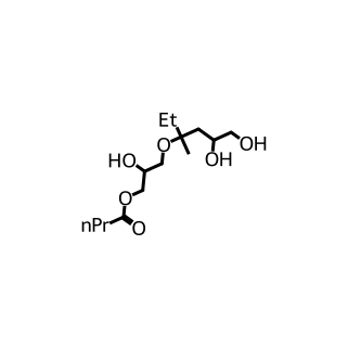 CCCC(=O)OCC(O)COC(C)(CC)CC(O)CO